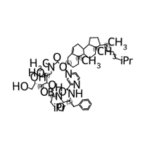 CC(C)CCC[C@@H](C)C1CCC2C3CC=C4C[C@@H](OC(=O)N(C)C[C@@H](O)C5OB([C@H](CC(C)C)NC(=O)[C@H](Cc6ccccc6)NC(=O)c6cnccn6)O[C@@H]5C(O)CO)CC[C@]4(C)C3CC[C@@]21C